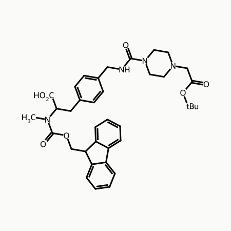 CN(C(=O)OCC1c2ccccc2-c2ccccc21)C(Cc1ccc(CNC(=O)N2CCN(CC(=O)OC(C)(C)C)CC2)cc1)C(=O)O